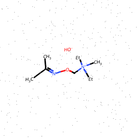 CC[N+](C)(CC)CON=C(C)C.[OH-]